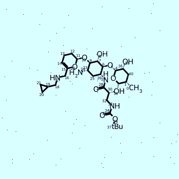 C[C@@H]1CO[C@H](O[C@@H]2[C@@H](O)[C@H](O[C@@H]3CCC=C(CNCC4CC4)O3)[C@@H](N)C[C@H]2NC(=O)[C@H](O)CNC(=O)OC(C)(C)C)[C@H](O)C1